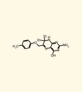 CCC1(CC)Nc2nc(N)nc(O)c2N=C1COc1ccc(C)cc1